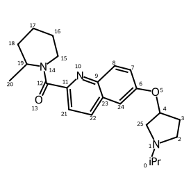 CC(C)N1CCC(Oc2ccc3nc(C(=O)N4CCCCC4C)ccc3c2)C1